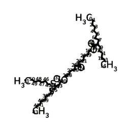 CCCCCCCCC(CCCCCC)C(=O)OCCCCCC(=O)CCCCCOC(=O)CC(CSCCCCCCC)SCCCCCCC